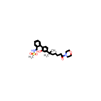 CC(C)(CCCCC(=O)N1CCOCC1)c1ccc(-c2ccccc2CNS(C)(=O)=O)c(O)c1